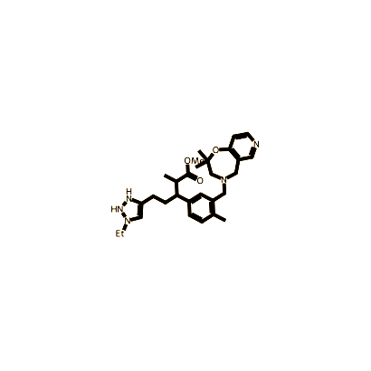 CCN1C=C(CCC(c2ccc(C)c(CN3Cc4cnccc4OC(C)(C)C3)c2)C(C)C(=O)OC)NN1